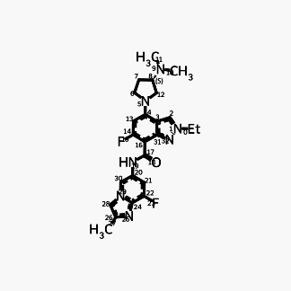 CCn1cc2c(N3CC[C@H](N(C)C)C3)cc(F)c(C(=O)Nc3cc(F)c4nc(C)cn4c3)c2n1